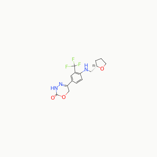 O=C1NN=C(c2ccc(NC[C@@H]3CCCO3)c(C(F)(F)F)c2)CO1